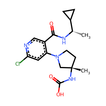 C[C@H](NC(=O)c1cnc(Cl)cc1N1CC[C@](C)(NC(=O)O)C1)C1CC1